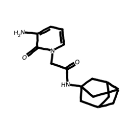 Nc1cccn(CC(=O)NC23CC4CC(C2)C(C4)C3)c1=O